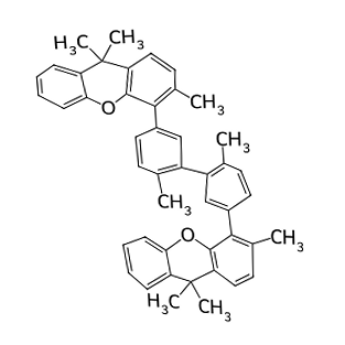 Cc1ccc(-c2c(C)ccc3c2Oc2ccccc2C3(C)C)cc1-c1cc(-c2c(C)ccc3c2Oc2ccccc2C3(C)C)ccc1C